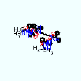 CN[C@@H](C)C(=O)N[C@H](C(=O)N1CCC[C@H]1C(=O)N[C@H](C(=O)NCCCCCCNC(=O)[C@@H](N[C@@H]1C(=O)C12CCCN2C(=O)[C@@H](NC(=O)[C@H](C)NC)C1CCCCC1)C(c1ccccc1)c1ccccc1)C(c1ccccc1)c1ccccc1)C1CCCCC1